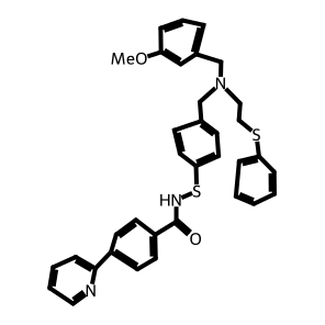 COc1cccc(CN(CCSc2ccccc2)Cc2ccc(SNC(=O)c3ccc(-c4ccccn4)cc3)cc2)c1